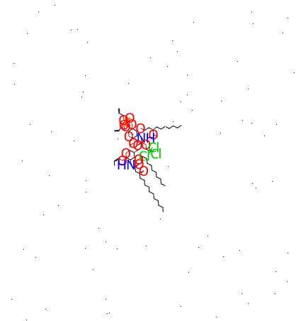 C=CCOP(=O)(OCC=C)O[C@H]1[C@H](OCC[C@@H](CCCCCCC)OC)[C@@H](NC(=O)OCC(Cl)(Cl)Cl)[C@H](OC[C@H]2O[C@H](O/C=C\C)[C@H](NC(=O)CC(=O)CCCCCCCCCCC)[C@@H](OCCCCCCCCCC)[C@@H]2C)O[C@@H]1COC